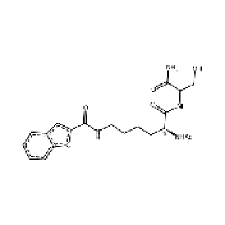 CC(=O)N[C@@H](CCCCNC(=O)c1cc2ccccc2o1)C(=O)NC(CO)C(N)=O